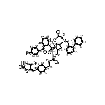 CC(C)CN(Cc1ccccc1-c1ccccc1)C1CC(CNC(=O)C=Cc2ccc(C=C3SC(=O)NC3=O)cc2)N(C(=O)c2ccccc2C(=O)c2ccc(F)cc2)C1